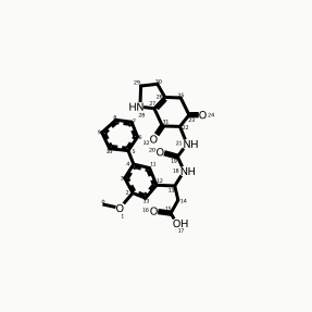 COc1cc(-c2ccccc2)cc(C(CC(=O)O)NC(=O)NC2C(=O)CC3=C(NCC3)C2=O)c1